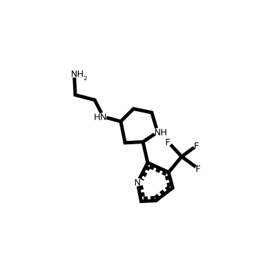 NCCNC1CCNC(c2ncccc2C(F)(F)F)C1